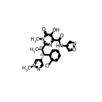 C[C@@H](c1nc(C(=O)Nc2cnoc2)c(O)c(=O)n1C)[C@@H](c1cnn(C)c1)c1ccccc1Cl